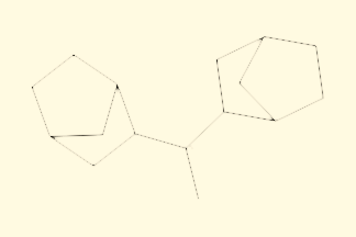 C[C](C1CC2CCC1C2)C1CC2CCC1C2